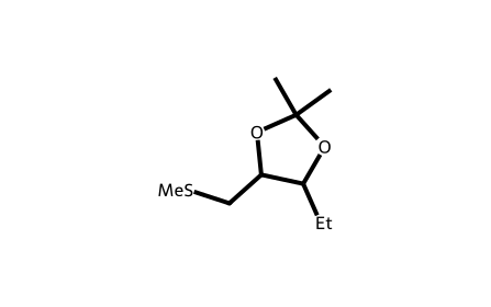 CCC1OC(C)(C)OC1CSC